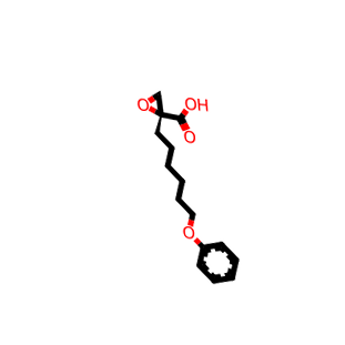 O=C(O)[C@@]1(CCCCCCOc2ccccc2)CO1